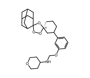 c1cc(OCNC2CCOCC2)cc(C2CCC[C@]3(C2)OOC2(O3)C3CC4CC(C3)CC2C4)c1